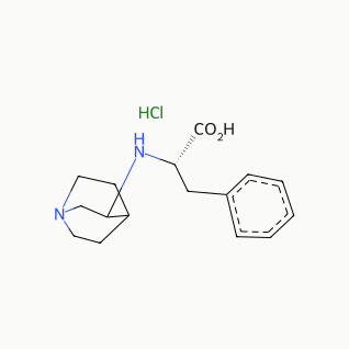 Cl.O=C(O)[C@H](Cc1ccccc1)NC1CN2CCC1CC2